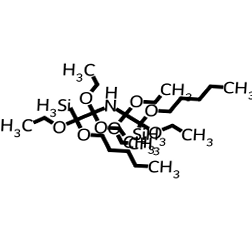 CCCCCOC([SiH3])(OCC)C(NC(OCC)(OCC)C([SiH3])(OCC)OCCCCC)(OCC)OCC